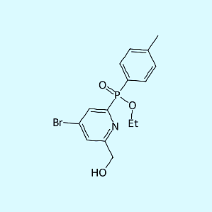 CCOP(=O)(c1ccc(C)cc1)c1cc(Br)cc(CO)n1